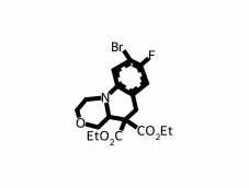 CCOC(=O)C1(C(=O)OCC)Cc2cc(F)c(Br)cc2N2CCOCC21